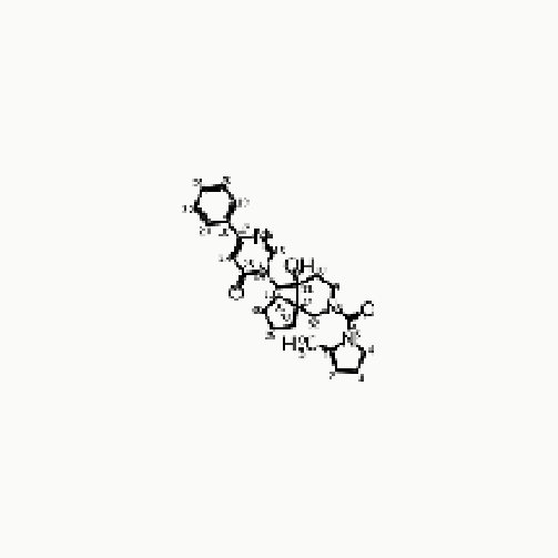 CC1CCCN1C(=O)N1CCC(O)(Cn2cnc(-c3ccccc3)cc2=O)C2(CCCC2)C1